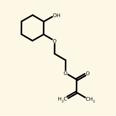 C=C(C)C(=O)OCCOC1CCCCC1O